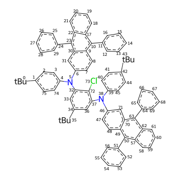 CC(C)(C)c1ccc(N(c2ccc3c(-c4ccccc4)c4ccccc4c(-c4ccccc4)c3c2)c2cc(C(C)(C)C)cc(N(c3ccc(C(C)(C)C)cc3)c3ccc4c(-c5ccccc5)c5ccccc5c(-c5ccccc5)c4c3)c2Cl)cc1